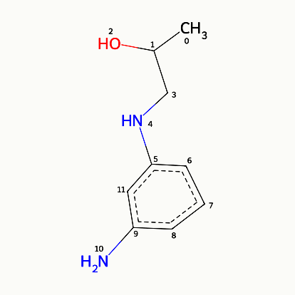 CC(O)CNc1cccc(N)c1